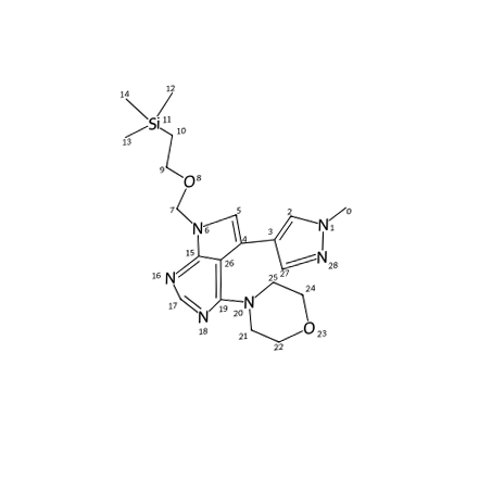 Cn1cc(-c2cn(COCC[Si](C)(C)C)c3ncnc(N4CCOCC4)c23)cn1